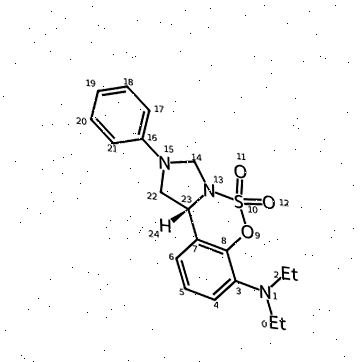 CCN(CC)c1cccc2c1OS(=O)(=O)N1CN(c3ccccc3)C[C@@H]21